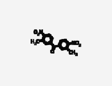 Cc1cc(C(=O)c2ccc([N+](=O)[O-])c(C)c2)ccc1[N+](=O)[O-]